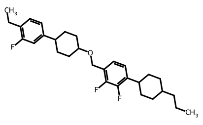 CCCC1CCC(c2ccc(COC3CCC(c4ccc(CC)c(F)c4)CC3)c(F)c2F)CC1